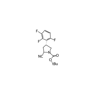 CC(C)(C)OC(=O)N1C[C@@H](c2c(F)ccc(F)c2F)CC1C#N